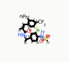 CCCc1cc(C(F)(F)F)ccc1C=C(C)C(=O)NC(C)c1ccc(NS(C)(=O)=O)c(F)c1